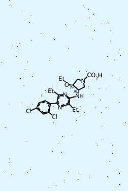 CCO[C@H]1CN(C(=O)O)C[C@H]1Nc1nc(CC)c(-c2ccc(Cl)cc2Cl)nc1CC